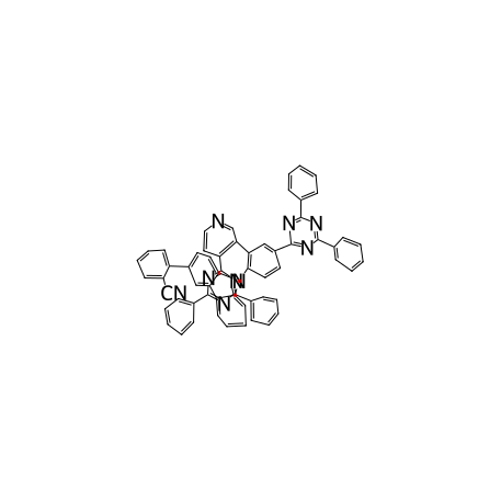 N#Cc1ccccc1-c1ccc2c(c1)c1ccccc1n2-c1ccc(-c2nc(-c3ccccc3)nc(-c3ccccc3)n2)cc1-c1cnccc1-c1nc(-c2ccccc2)nc(-c2ccccc2)n1